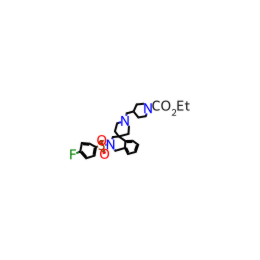 CCOC(=O)N1CCC(CN2CCC3(CC2)CN(S(=O)(=O)c2ccc(F)cc2)Cc2ccccc23)CC1